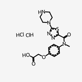 CN(C(=O)c1nnc(N2CCNCC2)s1)c1ccc(OCC(=O)O)cc1.Cl.Cl